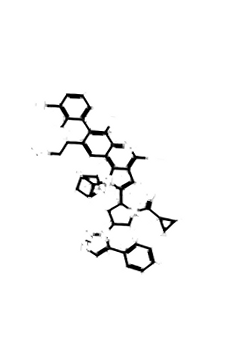 Cc1nc2c(F)c(-c3cccc(Cl)c3Cl)c(CCC#N)cc2c2c1cc(C1CC(n3nncc3-c3ccccc3)CN1C(=O)C1CC1)n2C1C2CNC1C2